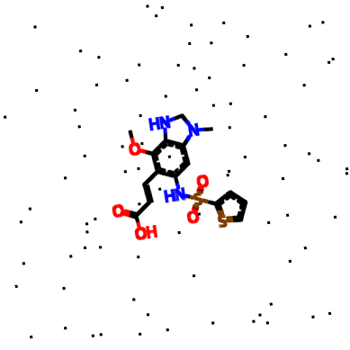 COc1c(/C=C/C(=O)O)c(NS(=O)(=O)c2cccs2)cc2c1NCN2C